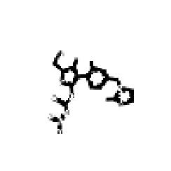 Cc1cc(Cn2ccnc2C)ccc1-c1c(OC(=O)N=S(=O)=O)sc(CC(C)C)c1C